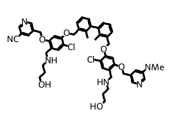 CNc1cncc(COc2cc(OCc3cccc(-c4cccc(COc5cc(OCc6cncc(C#N)c6)c(CNCCCO)cc5Cl)c4C)c3C)c(Cl)cc2CNCCCO)c1